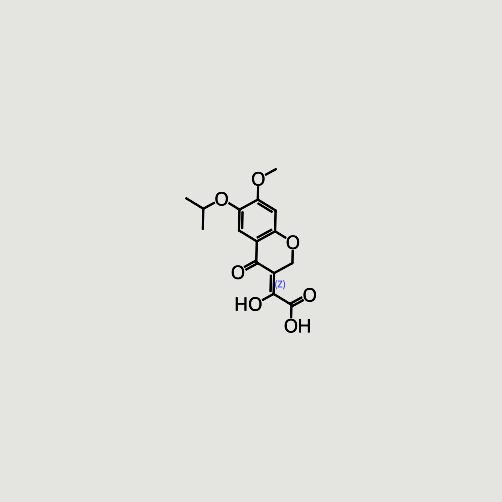 COc1cc2c(cc1OC(C)C)C(=O)/C(=C(\O)C(=O)O)CO2